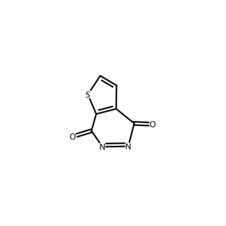 O=C1N=NC(=O)c2sccc21